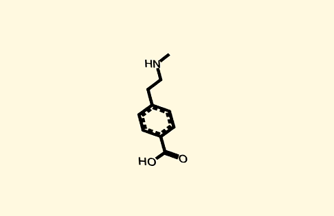 CNCCc1ccc(C(=O)O)cc1